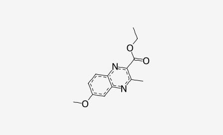 CCOC(=O)c1nc2ccc(OC)cc2nc1C